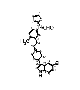 Cc1ccc(N(C=O)c2cccs2)cc1CCN1CCC(c2c[nH]c3ccc(Cl)cc23)CC1